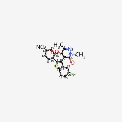 Cc1nn(C)c(=O)c(-c2c(-c3ccc(C#N)cc3)sc3ccc(F)cc23)c1O